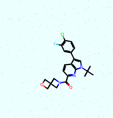 CC(C)(C)n1cc(-c2ccc(Cl)c(F)c2)c2ccc(C(=O)N3CC4(COC4)C3)nc21